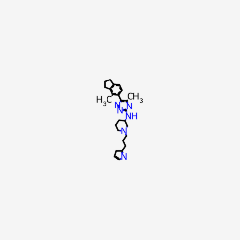 Cc1nc(NC2CCCN(CCCC3=NC=CC3)C2)nnc1-c1ccc2c(c1C)CCC2